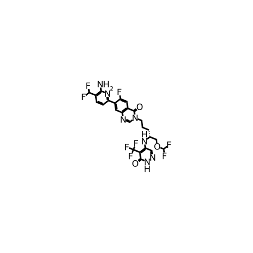 Nc1nc(-c2cc3ncn(CCC[C@H](COC(F)F)Nc4cn[nH]c(=O)c4C(F)(F)F)c(=O)c3cc2F)ccc1C(F)F